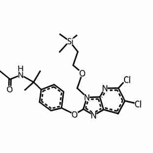 CC(=O)NC(C)(C)c1ccc(Oc2nc3cc(Cl)c(Cl)nc3n2COCC[Si](C)(C)C)cc1